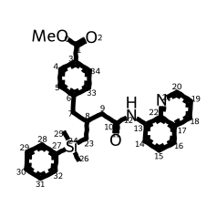 COC(=O)c1ccc(CC(CC(=O)Nc2cccc3cccnc23)C[Si](C)(C)c2ccccc2)cc1